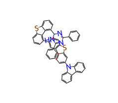 c1ccc(C2=NC(c3cccc4sc5cccc(-c6ccc7sc8cc(-n9c%10ccccc%10c%10ccccc%109)ccc8c7c6)c5c34)NC(c3ccccc3)=N2)cc1